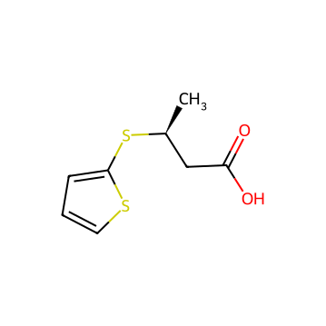 C[C@@H](CC(=O)O)Sc1cccs1